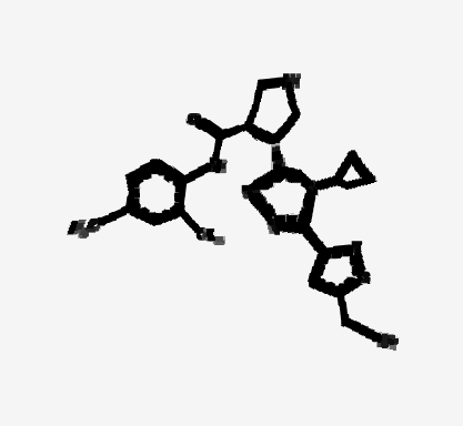 Cc1ccc(NC(=O)[C@H]2CNC[C@@H]2c2nnc(-c3cc(CC(C)C)on3)n2C2CC2)c(C)c1